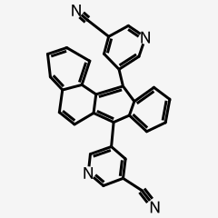 N#Cc1cncc(-c2c3ccccc3c(-c3cncc(C#N)c3)c3c2ccc2ccccc23)c1